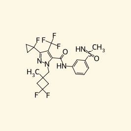 CC1(Cn2nc(C3(F)CC3)c(C(F)(F)F)c2C(=O)Nc2cccc(S(C)(=N)=O)c2)CC(F)(F)C1